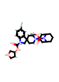 CC(C)OC(=O)N1C2CCCC1CC(N1CCC3(CC1)CN(C(=O)O[C@H]1CCOC1)c1ccc(F)cc13)C2